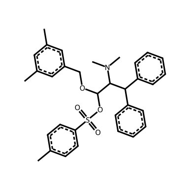 Cc1ccc(S(=O)(=O)OC(OCc2cc(C)cc(C)c2)C(C(c2ccccc2)c2ccccc2)N(C)C)cc1